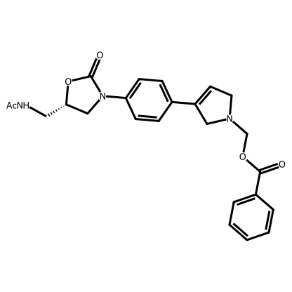 CC(=O)NC[C@H]1CN(c2ccc(C3=CCN(COC(=O)c4ccccc4)C3)cc2)C(=O)O1